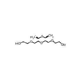 C=CSC=C.OCCOCCOCCOCCO